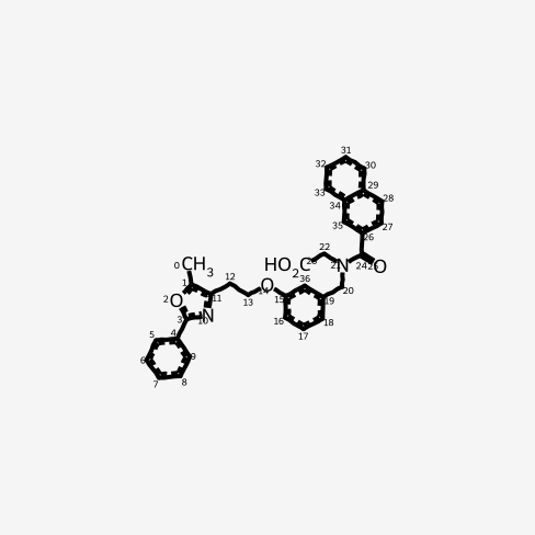 Cc1oc(-c2ccccc2)nc1CCOc1cccc(CN(CC(=O)O)C(=O)c2ccc3ccccc3c2)c1